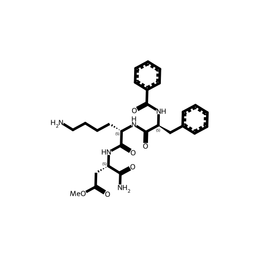 COC(=O)C[C@H](NC(=O)[C@H](CCCCN)NC(=O)[C@H](Cc1ccccc1)NC(=O)c1ccccc1)C(N)=O